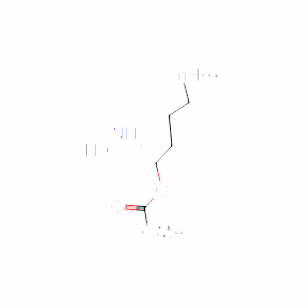 CCCCCCCCCCOC(=O)OC.CN